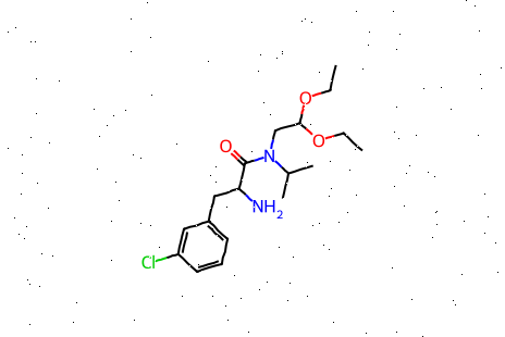 CCOC(CN(C(=O)C(N)Cc1cccc(Cl)c1)C(C)C)OCC